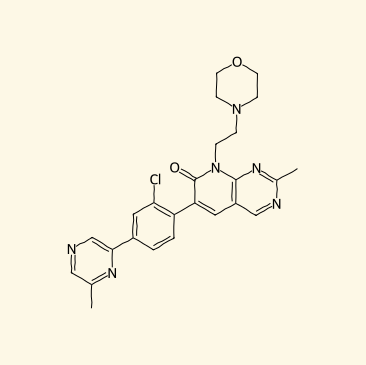 Cc1cncc(-c2ccc(-c3cc4cnc(C)nc4n(CCN4CCOCC4)c3=O)c(Cl)c2)n1